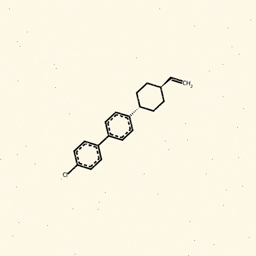 C=C[C@H]1CC[C@H](c2ccc(-c3ccc(Cl)cc3)cc2)CC1